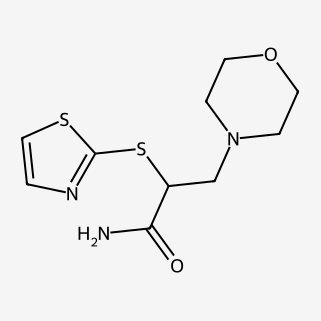 NC(=O)C(CN1CCOCC1)Sc1nccs1